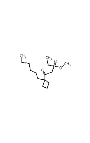 CCCCCCC1(C(=O)CP(=O)(OC)OC)CCC1